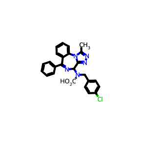 Cc1nnc2n1-c1ccccc1C(c1ccccc1)=NC2N(Cc1ccc(Cl)cc1)C(=O)O